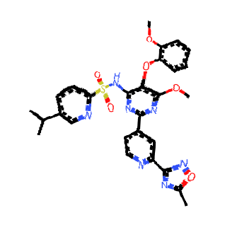 COc1ccccc1Oc1c(NS(=O)(=O)c2ccc(C(C)C)cn2)nc(-c2ccnc(-c3noc(C)n3)c2)nc1OC